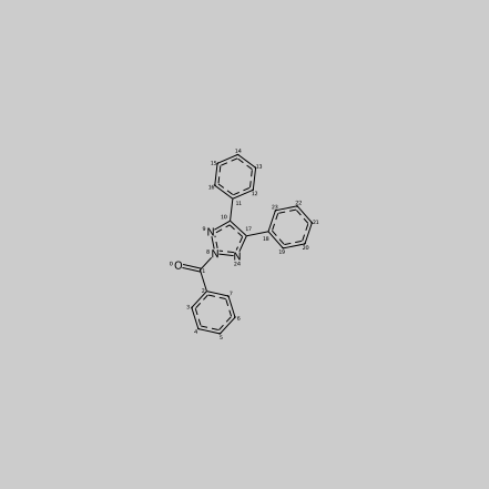 O=C(c1ccccc1)n1nc(-c2ccccc2)c(-c2ccccc2)n1